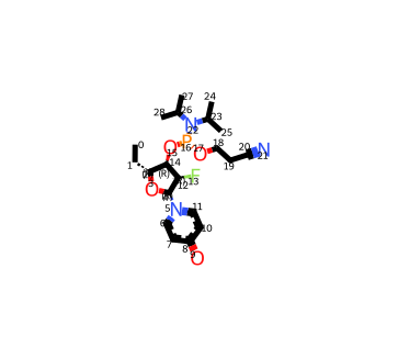 CC[C@H]1O[C@@H](n2ccc(=O)cc2)[C@H](F)[C@@H]1OP(OCCC#N)N(C(C)C)C(C)C